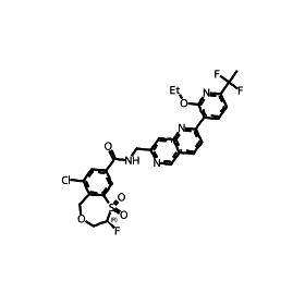 CCOc1nc(C(C)(F)F)ccc1-c1ccc2cnc(CNC(=O)c3cc(Cl)c4c(c3)S(=O)(=O)[C@@H](F)COC4)cc2n1